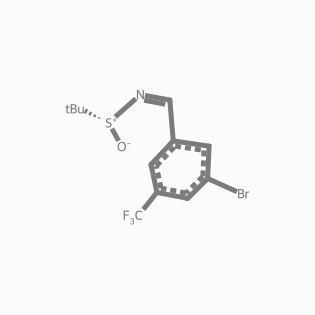 CC(C)(C)[S@@+]([O-])/N=C\c1cc(Br)cc(C(F)(F)F)c1